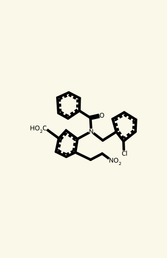 O=C(O)c1ccc(CC[N+](=O)[O-])c(N(Cc2ccccc2Cl)C(=O)c2ccccc2)c1